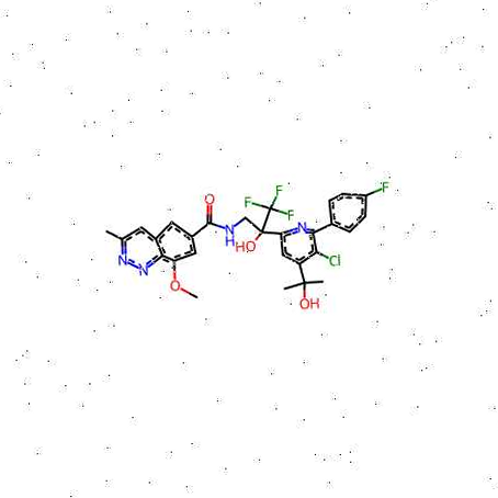 COc1cc(C(=O)NCC(O)(c2cc(C(C)(C)O)c(Cl)c(-c3ccc(F)cc3)n2)C(F)(F)F)cc2cc(C)nnc12